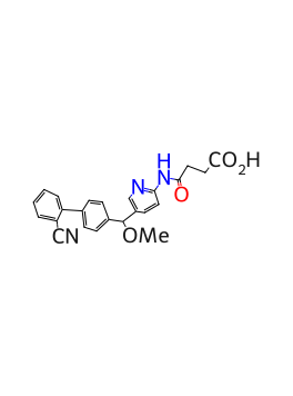 COC(c1ccc(-c2ccccc2C#N)cc1)c1ccc(NC(=O)CCC(=O)O)nc1